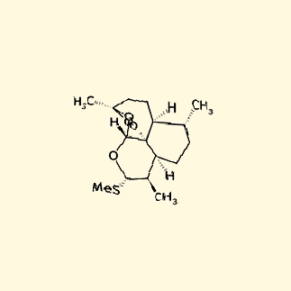 CS[C@@H]1O[C@@H]2O[C@]3(C)CC[C@H]4[C@H](C)CC[C@@H]([C@H]1C)[C@@]24OO3